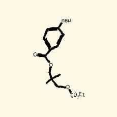 CCCCc1ccc(C(=O)OCC(C)(C)COC(=O)OCC)cc1